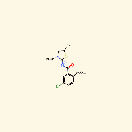 CCCCN1CC(CC)S/C1=N\C(=O)c1cc(Cl)ccc1OC